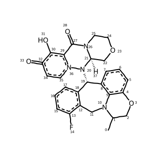 CC1COc2cccc3c2N1Cc1c(F)cccc1[C@@H]3N1[C@@H]2COCCN2C(=O)c2c(O)c(=O)ccn21